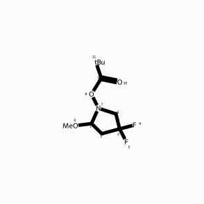 COC1CC(F)(F)CN1OC(=O)C(C)(C)C